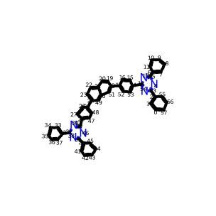 C1=C=C(c2nc(-c3ccccc3)nc(-c3ccc(-c4ccc5ccc(-c6ccc(-c7nc(-c8ccccc8)nc(-c8ccccc8)n7)cc6)cc5c4)cc3)n2)C=CC=1